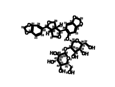 OC[C@H]1O[C@@H](O[C@H]2[C@H](Oc3cc4c(cc3[C@H]3OC[C@H]5[C@@H]3CO[C@@H]5c3ccc5c(c3)OCO5)OCO4)O[C@H](CO)[C@@H](O)[C@@H]2O)[C@H](O)[C@@H](O)[C@@H]1O